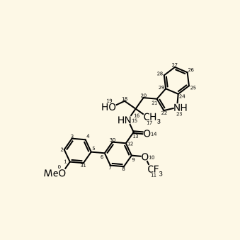 COc1cccc(-c2ccc(OC(F)(F)F)c(C(=O)NC(C)(CO)Cc3c[nH]c4ccccc34)c2)c1